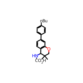 CCCCc1ccc(-c2ccc3c(c2)OCC(C)(C)C3NC(=O)O)cc1